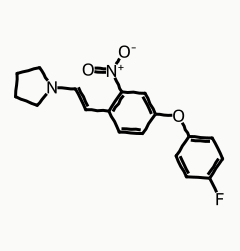 O=[N+]([O-])c1cc(Oc2ccc(F)cc2)ccc1C=CN1CCCC1